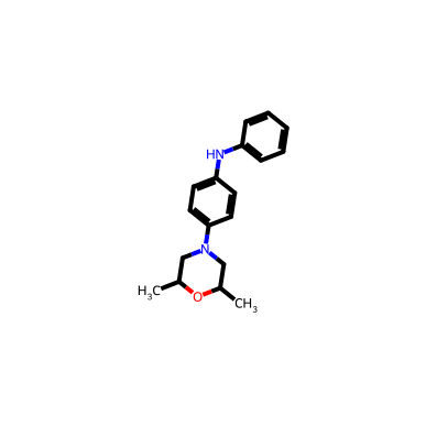 CC1CN(c2ccc(Nc3ccccc3)cc2)CC(C)O1